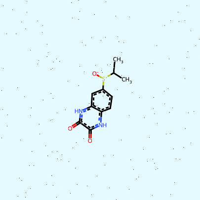 CC(C)[S+]([O-])c1ccc2[nH]c(=O)c(=O)[nH]c2c1